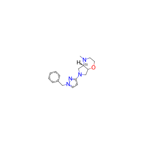 CN1CCOC2CN(c3ccn(Cc4ccccc4)n3)C[C@@H]21